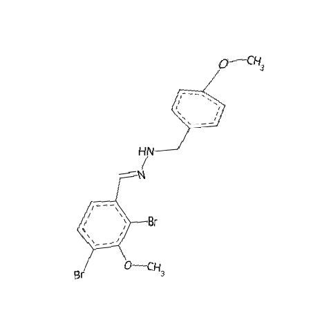 COc1ccc(CN/N=C/c2ccc(Br)c(OC)c2Br)cc1